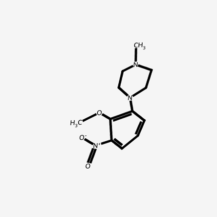 COc1c(N2CCN(C)CC2)cccc1[N+](=O)[O-]